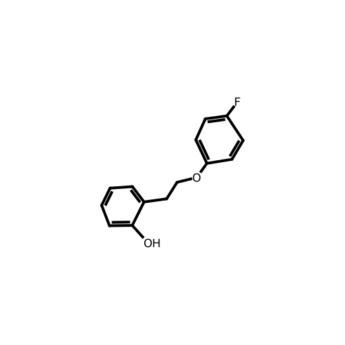 Oc1ccccc1CCOc1ccc(F)cc1